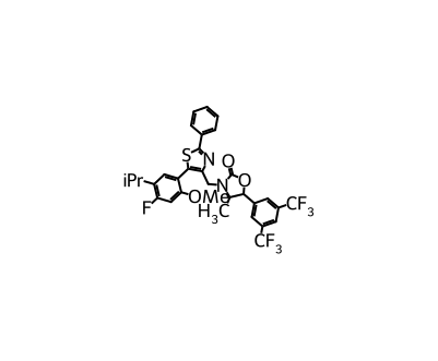 COc1cc(F)c(C(C)C)cc1-c1sc(-c2ccccc2)nc1CN1C(=O)OC(c2cc(C(F)(F)F)cc(C(F)(F)F)c2)C1C